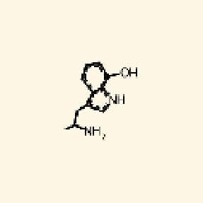 CC(N)Cc1c[nH]c2c(O)cccc12